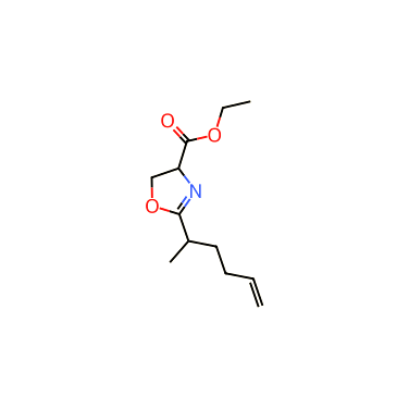 C=CCCC(C)C1=NC(C(=O)OCC)CO1